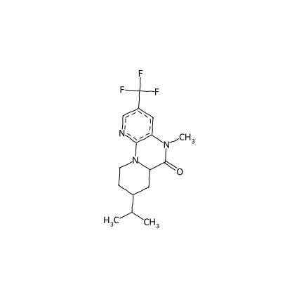 CC(C)C1CCN2c3ncc(C(F)(F)F)cc3N(C)C(=O)C2C1